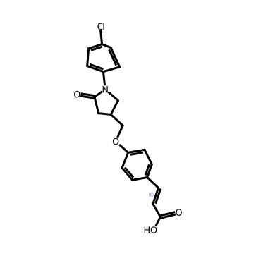 O=C(O)/C=C/c1ccc(OCC2CC(=O)N(c3ccc(Cl)cc3)C2)cc1